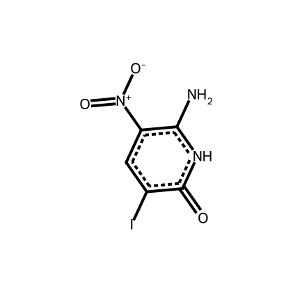 Nc1[nH]c(=O)c(I)cc1[N+](=O)[O-]